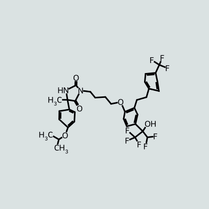 CC(C)Oc1ccc(C2(C)NC(=O)N(CCCCOc3ccc(C(O)(C(F)F)C(F)(F)F)cc3CCc3ccc(C(F)(F)F)cc3)C2=O)cc1